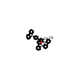 N#Cc1ccc2c3cccc(-n4c5ccccc5c5ccccc54)c3n(-c3ccc(-c4ccc(-n5c6ccccc6c6ccccc65)cc4)cc3C#N)c2c1